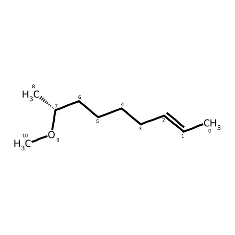 C/C=C/CCCC[C@@H](C)OC